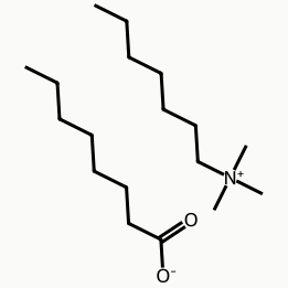 CCCCCCCC(=O)[O-].CCCCCCC[N+](C)(C)C